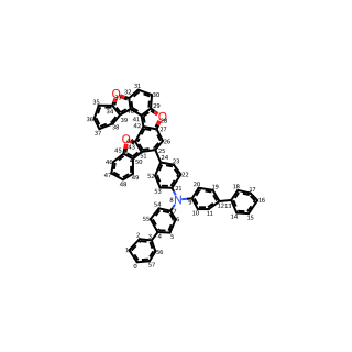 c1ccc(-c2ccc(N(c3ccc(-c4ccccc4)cc3)c3ccc(-c4cc5oc6ccc7oc8ccccc8c7c6c5c5oc6ccccc6c45)cc3)cc2)cc1